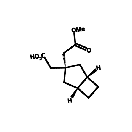 COC(=O)C[C@@]1(CC(=O)O)C[C@H]2CC[C@H]2C1